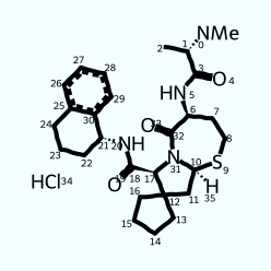 CN[C@@H](C)C(=O)N[C@H]1CCS[C@H]2CC3(CCCC3)[C@@H](C(=O)N[C@@H]3CCCc4ccccc43)N2C1=O.Cl